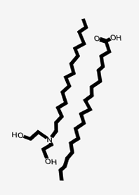 CCCCCCCCCCCCCCCCCCCC(=O)O.CCCCCCCCCCCCCCCCN(CCO)CCO